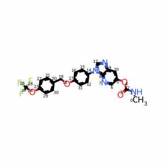 CNC(=O)Oc1cnc2c(c1)ncn2-c1ccc(OCc2ccc(OC(F)(F)F)cc2)cc1